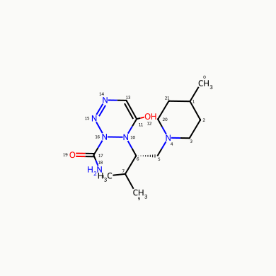 CC1CCN(C[C@H](C(C)C)N2C(O)=CN=NN2C(N)=O)CC1